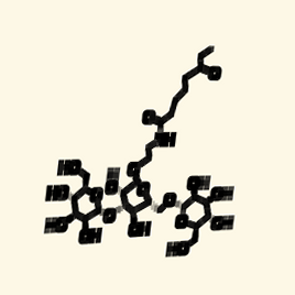 CCC(=O)CCCCC(=O)NCCO[C@H]1O[C@H](CO[C@H]2O[C@H](CO)[C@@H](O)[C@H](O)[C@@H]2O)[C@@H](O)[C@H](O[C@H]2O[C@H](CO)[C@@H](O)[C@H](O)[C@@H]2O)[C@@H]1O